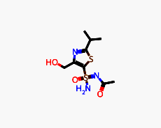 CC(=O)N=S(N)(=O)c1sc(C(C)C)nc1CO